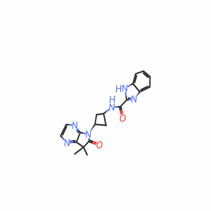 CC1(C)C(=O)N(C2CC(NC(=O)c3nc4ccccc4[nH]3)C2)c2nccnc21